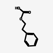 O=C(O)OCCc1ccccc1